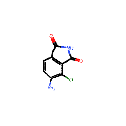 Nc1ccc2c(c1Cl)C(=O)NC2=O